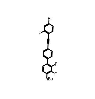 CCCCc1ccc(-c2ccc(C#Cc3ccc(CC)cc3F)cc2)c(F)c1F